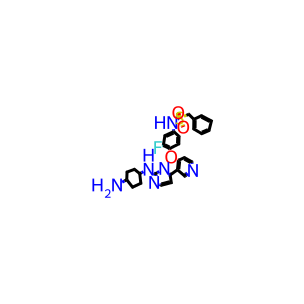 NC1CCC(Nc2nccc(-c3cnccc3Oc3ccc(NS(=O)(=O)Cc4ccccc4)cc3F)n2)CC1